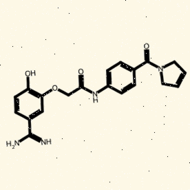 N=C(N)c1ccc(O)c(OCC(=O)Nc2ccc(C(=O)N3CC=CC3)cc2)c1